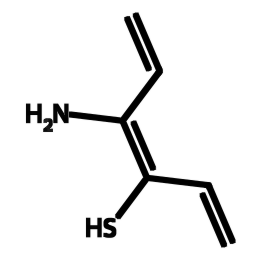 C=C/C(N)=C(/S)C=C